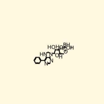 B[PH]1(O)OC[C@H]2OC(N3CNc4c(-c5ccccc5)ncnc43)C(O)[C@@H]2O1